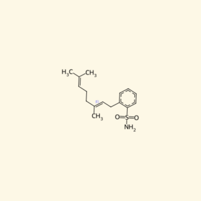 CC(C)=CCC/C(C)=C/Cc1ccccc1S(N)(=O)=O